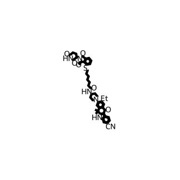 CCc1cc2c(cc1N1CCC(NC(=O)CCCCCCSc3cccc4c3C(=O)N(C3CCC(=O)NC3=O)C4=O)CC1)C(C)(C)c1[nH]c3cc(C#N)ccc3c1C2=O